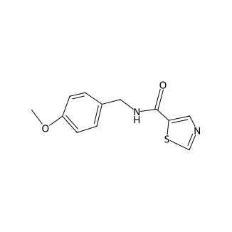 COc1ccc(CNC(=O)c2cncs2)cc1